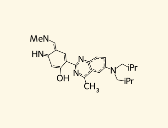 CN/C=C1/C=C(c2nc(C)c3cc(N(CC(C)C)CC(C)C)ccc3n2)C(O)=CC1=N